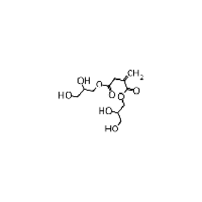 C=C(CC(=O)OCC(O)CO)C(=O)OCC(O)CO